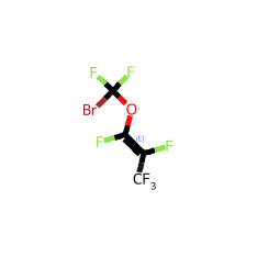 F/C(OC(F)(F)Br)=C(/F)C(F)(F)F